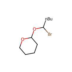 CCCCC(Br)OC1CCCCO1